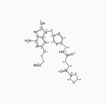 COCCOc1nc(N)c2nc(O)n(Cc3ccc(CNC(=O)CCC(=O)N4CCCC4)cc3)c2n1